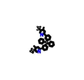 Cc1cc(-c2cccc([Si](c3ccccc3)(c3ccccc3)c3cccc(-c4cc(C)c([Si](C)(C)C)cn4)c3)c2)ncc1[Si](C)(C)C